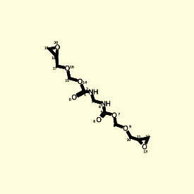 O=C(NCNC(=O)OCOCC1CO1)OCOCC1CO1